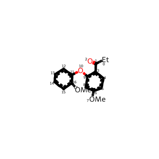 CCC(=O)c1ccc(OC)cc1Oc1ccccc1OC